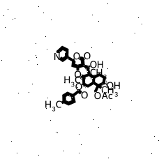 CC(=O)OCC1(C)C2C[C@H](OC(=O)c3ccc(C)cc3)[C@@]3(C)Oc4cc(-c5cccnc5)oc(=O)c4[C@H](O)C3[C@@]2(C)CC[C@@H]1O